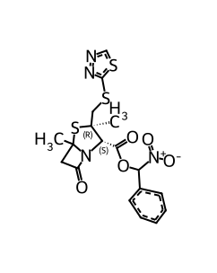 CC12CC(=O)N1[C@@H](C(=O)OC(c1ccccc1)[N+](=O)[O-])[C@](C)(CSc1nncs1)S2